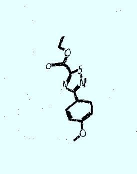 CCOC(=O)c1nc(-c2ccc(OC)cc2)ns1